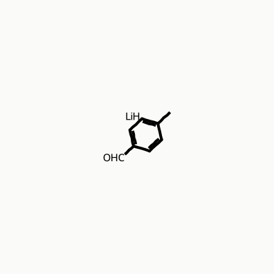 Cc1ccc(C=O)cc1.[LiH]